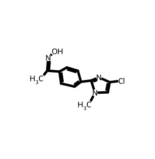 C/C(=N/O)c1ccc(-c2nc(Cl)cn2C)cc1